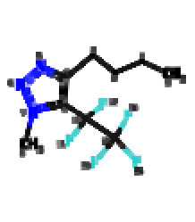 CCCCc1nnn(C)c1C(F)(F)C(F)(F)F